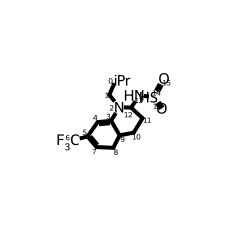 CC(C)CN1C2=CC(C(F)(F)F)=CCC2CCC1N[SH](=O)=O